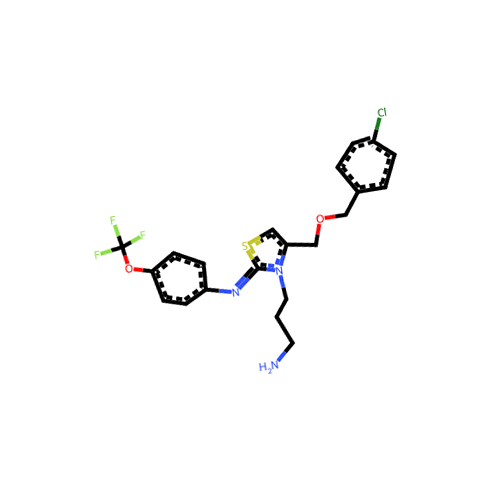 NCCCn1c(COCc2ccc(Cl)cc2)csc1=Nc1ccc(OC(F)(F)F)cc1